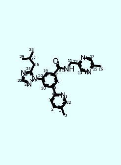 Cc1ccc(-c2cc(C(=O)NCc3cnc(C)cn3)cc(-n3ncnc3CC(C)C)c2)nc1